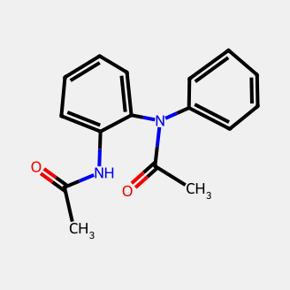 CC(=O)Nc1ccccc1N(C(C)=O)c1ccccc1